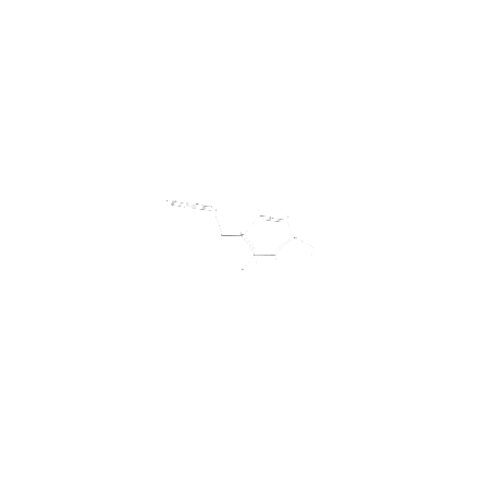 [N-]=[N+]=NCc1ccc(Cl)cc1Cl